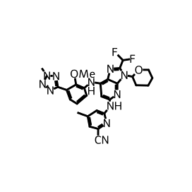 COc1c(Nc2cc(Nc3cc(C)cc(C#N)n3)nc3c2nc(C(F)F)n3C2CCCCO2)cccc1-c1nnn(C)n1